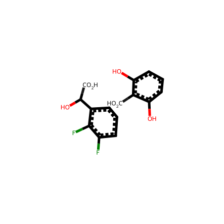 O=C(O)C(O)c1cccc(F)c1F.O=C(O)c1c(O)cccc1O